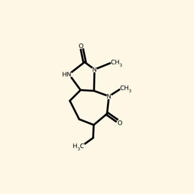 CCC1CCC2NC(=O)N(C)C2N(C)C1=O